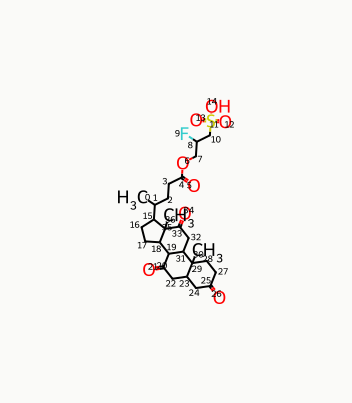 CC(CCC(=O)OCC(F)CS(=O)(=O)O)C1CCC2C3C(=O)CC4CC(=O)CCC4(C)C3CC(=O)C12C